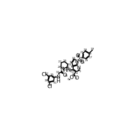 COC(=O)c1cnc2c(ccn2S(=O)(=O)c2ccc(C)cc2)c1N[C@H]1CCCCN1C(=O)CNc1cc(Cl)cc(Cl)c1